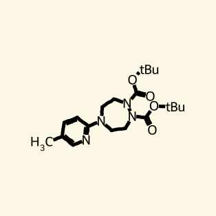 Cc1ccc(N2CCN(C(=O)OC(C)(C)C)N(C(=O)OC(C)(C)C)CC2)nc1